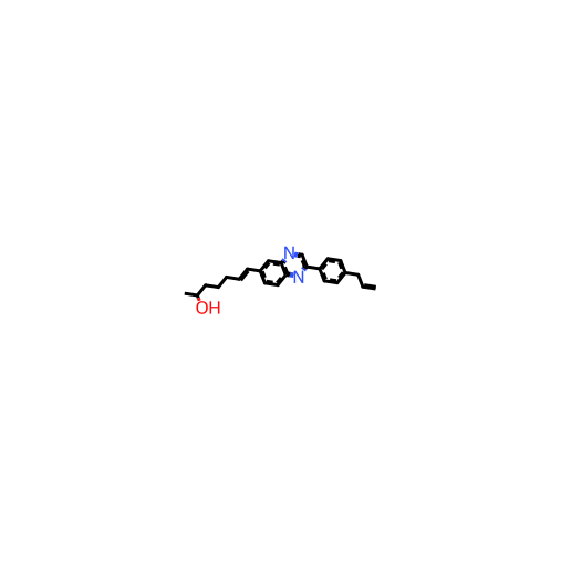 C=CCc1ccc(-c2cnc3cc(/C=C/CCCC(C)O)ccc3n2)cc1